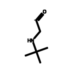 CC(C)(C)NC[C]=O